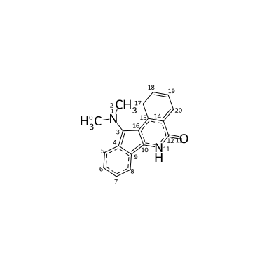 CN(C)C1=c2ccccc2=c2[nH]c(=O)c3c(c21)CC=CC=3